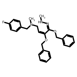 CN/N=C(OCc1ccccc1)\C(=C/CN(C)Cc1ccc(F)cc1)OCc1ccccc1